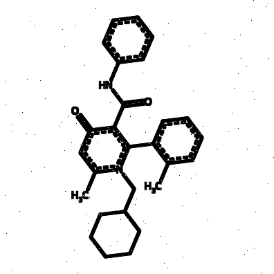 Cc1ccccc1-c1c(C(=O)Nc2ccccc2)c(=O)cc(C)n1CC1CCCCC1